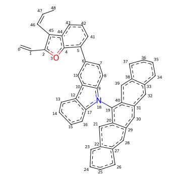 C=Cc1oc2c(-c3ccc4c(c3)c3ccccc3n4-c3c4cc5ccccc5cc4cc4cc5ccccc5cc34)cccc2c1/C=C\C